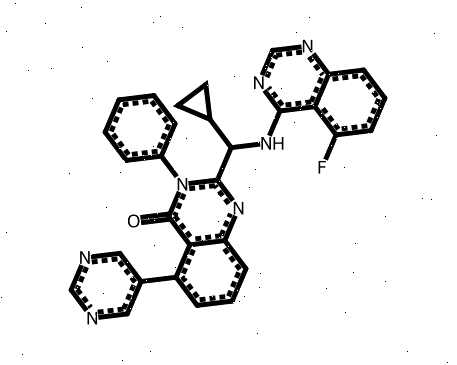 O=c1c2c(-c3cncnc3)cccc2nc(C(Nc2ncnc3cccc(F)c23)C2CC2)n1-c1ccccc1